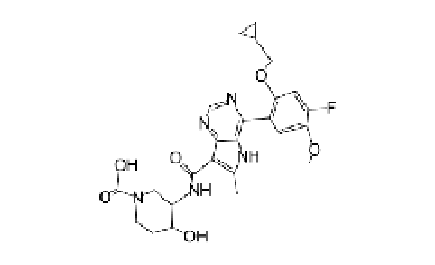 COc1cc(-c2ncnc3c(C(=O)NC4CN(C(=O)O)CCC4O)c(C)[nH]c23)c(OCC2CC2)cc1F